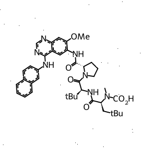 COc1cc2ncnc(Nc3ccc4ccccc4c3)c2cc1NC(=O)[C@@H]1CCCN1C(=O)[C@@H](NC(=O)[C@H](CC(C)(C)C)N(C)C(=O)O)C(C)(C)C